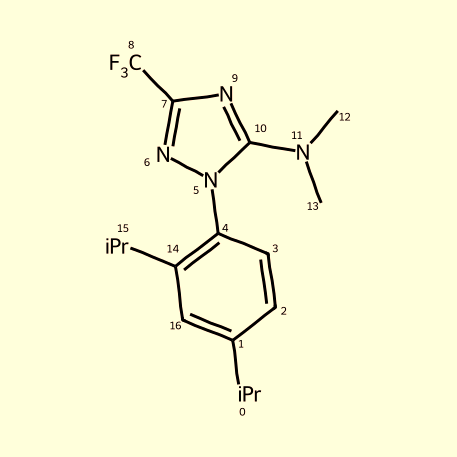 CC(C)c1ccc(-n2nc(C(F)(F)F)nc2N(C)C)c(C(C)C)c1